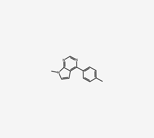 Cc1ccc(-c2ncnc3c2ccn3C)cc1